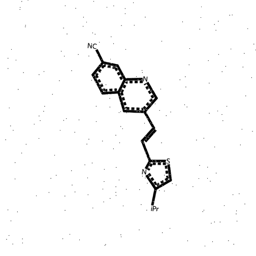 CC(C)c1csc(C=Cc2cnc3cc(C#N)ccc3c2)n1